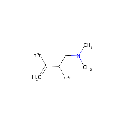 C=C(CCC)C(CCC)CN(C)C